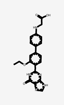 CCOc1cc(-c2ccc(NCC(=O)O)cc2)ccc1-c1nc2[nH]cnc2c(=O)[nH]1